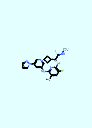 C[C@H](NC(=O)O)[C@H](Nc1nc(Nc2cncc(-n3cccn3)c2)c(C#N)cc1F)C1CCC1